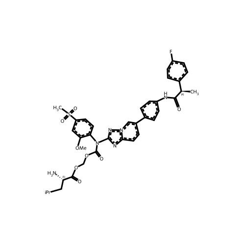 COc1cc(S(C)(=O)=O)ccc1N(C(=O)OCOC(=O)[C@@H](N)CC(C)C)c1nc2ccc(-c3ccc(NC(=O)[C@H](C)c4ccc(F)cc4)cc3)cn2n1